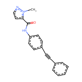 Cn1nccc1C(=O)Nc1ccc(C#Cc2ccccc2)cc1